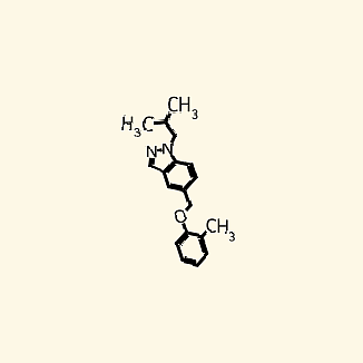 Cc1ccccc1OCc1ccc2c(cnn2CC(C)C)c1